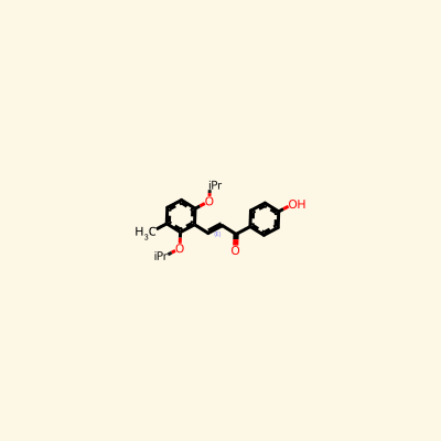 Cc1ccc(OC(C)C)c(/C=C/C(=O)c2ccc(O)cc2)c1OC(C)C